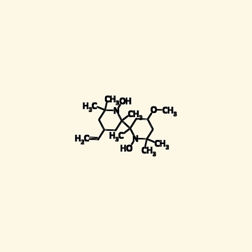 C=CC1CC(C)(C)N(O)C(C)(C2(C)CC(OC)CC(C)(C)N2O)C1